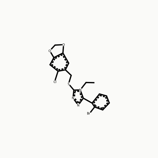 CCn1c(SCc2cc3c(cc2Cl)OCO3)nnc1-c1ccccc1Br